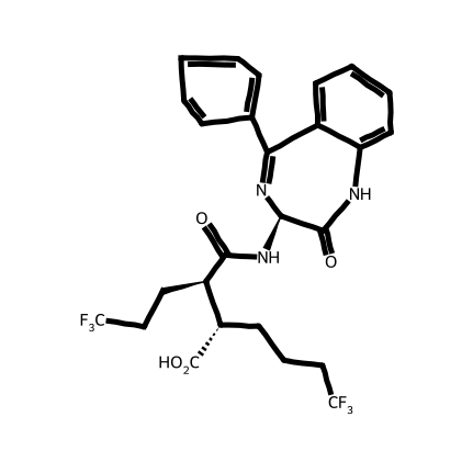 O=C1Nc2ccccc2C(c2ccccc2)=N[C@@H]1NC(=O)[C@H](CCC(F)(F)F)[C@H](CCCC(F)(F)F)C(=O)O